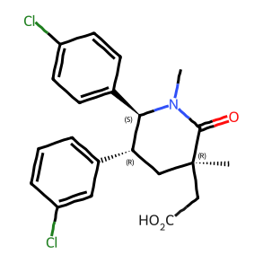 CN1C(=O)[C@@](C)(CC(=O)O)C[C@H](c2cccc(Cl)c2)[C@H]1c1ccc(Cl)cc1